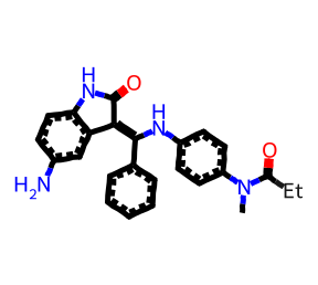 CCC(=O)N(C)c1ccc(N/C(=C2\C(=O)Nc3ccc(N)cc32)c2ccccc2)cc1